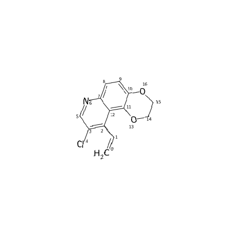 C=Cc1c(Cl)cnc2ccc3c(c12)OCCO3